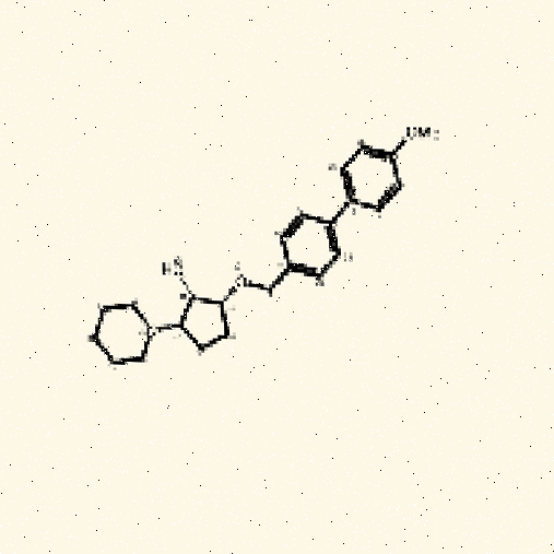 COc1ccc(-c2ccc(CO[C@H]3CC[C@@H](N4CCCCC4)[C@@H]3O)cc2)cc1